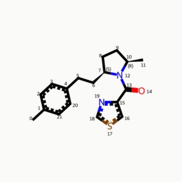 Cc1ccc(CC[C@H]2CC[C@@H](C)N2C(=O)c2cscn2)cc1